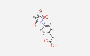 O=C(O)Cc1ccc(N2C(=O)C=C(Br)C2=O)cc1